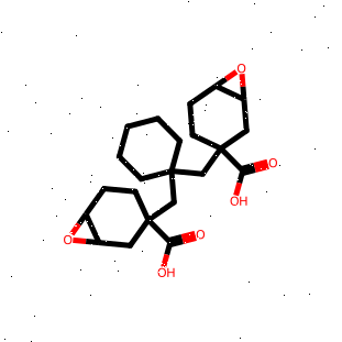 O=C(O)C1(CC2(CC3(C(=O)O)CCC4OC4C3)CCCCC2)CCC2OC2C1